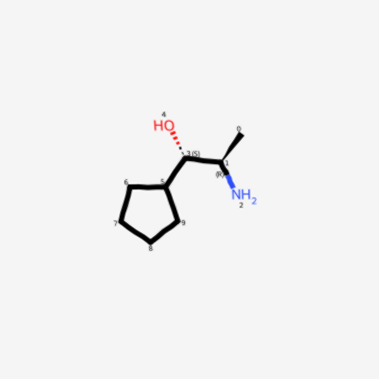 C[C@@H](N)[C@@H](O)C1CCCC1